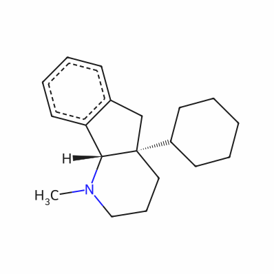 CN1CCC[C@]2(C3CCCCC3)Cc3ccccc3[C@@H]12